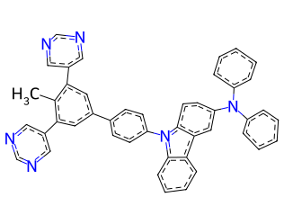 Cc1c(-c2cncnc2)cc(-c2ccc(-n3c4ccccc4c4cc(N(c5ccccc5)c5ccccc5)ccc43)cc2)cc1-c1cncnc1